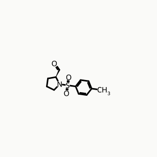 Cc1ccc(S(=O)(=O)N2CCC[C@H]2C=O)cc1